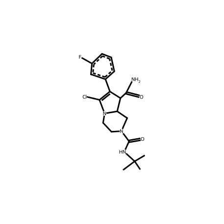 CC(C)(C)NC(=O)N1CCN2C(Cl)=C(c3cccc(F)c3)C(C(N)=O)C2C1